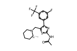 CC(=O)Nc1nc(-c2cc(F)cc(C(F)(F)F)c2)c(CN2CCCC[C@H]2C)s1